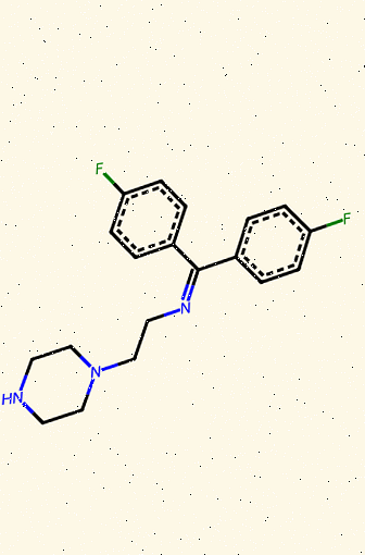 Fc1ccc(C(=NCCN2CCNCC2)c2ccc(F)cc2)cc1